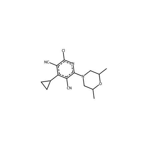 CC1CN(c2nc(Cl)c(C#N)c(C3CC3)c2C#N)CC(C)O1